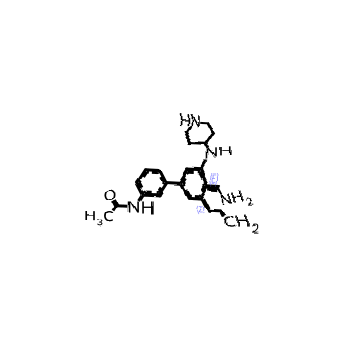 C=C/C=c1/cc(-c2cccc(NC(C)=O)c2)cc(NC2CCNCC2)/c1=C/N